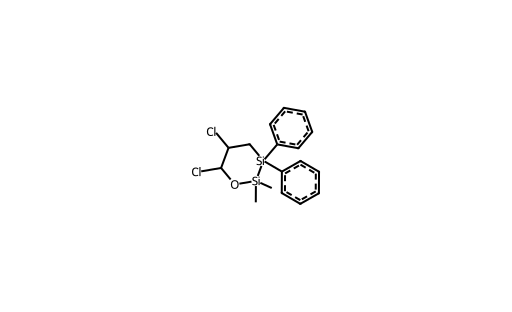 C[Si]1(C)OC(Cl)C(Cl)C[Si]1(c1ccccc1)c1ccccc1